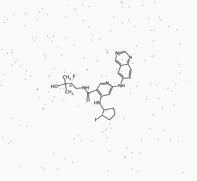 CC(C)(O)[C@H](F)CNC(=O)c1cnc(Nc2ccc3ncncc3c2)cc1NC1CCCC1F